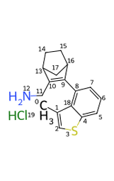 Cc1csc2cccc(C3=C(CN)C4CCC3C4)c12.Cl